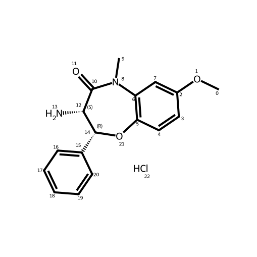 COc1ccc2c(c1)N(C)C(=O)[C@@H](N)[C@@H](c1ccccc1)O2.Cl